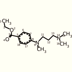 CCOC(=O)c1ccc(N(C)CCCN(C)C)cc1